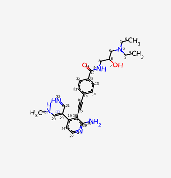 CCN(CC)CC(O)CNC(=O)c1ccc(C#Cc2c(/C(C=N)=C/NC)ccnc2N)cc1